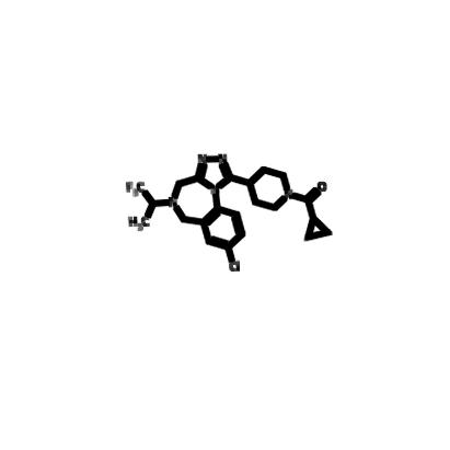 CC(N1Cc2cc(Cl)ccc2-n2c(nnc2C2CCN(C(=O)C3CC3)CC2)C1)C(F)(F)F